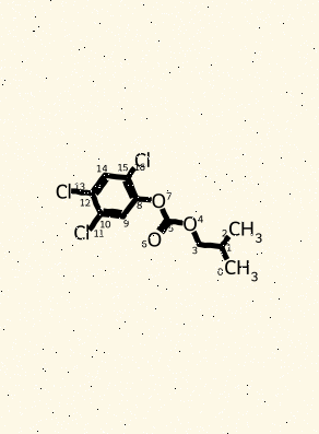 CC(C)COC(=O)Oc1cc(Cl)c(Cl)cc1Cl